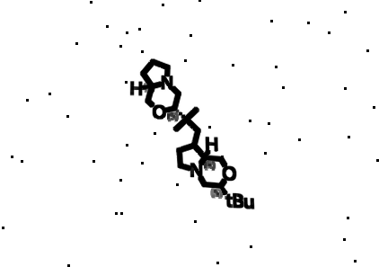 CC(C)(C)[C@H]1CN2CCC(CC(C)(C)[C@H]3CN4CCC[C@H]4CO3)[C@@H]2CO1